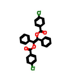 O=C(O/C(=C(/OC(=O)c1ccc(Cl)cc1)c1ccccc1)c1ccccc1)c1ccc(Cl)cc1